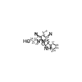 CCc1c(C#N)c(SC(C(N)=O)c2ccccc2)nc(N(C)CCCO)c1C#N